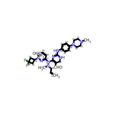 C=CCN(C)N(C1=C(C=O)CNC(Nc2ccc(N3CCN(C)CC3)cc2)=N1)C(/C=C\C=O)=N/N(C)C1CC(F)(F)C1